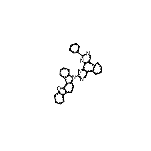 c1ccc(-c2ncc3c4ccccc4c4cnc(-n5c6ccccc6c6c7oc8ccccc8c7ccc65)nc4c3n2)cc1